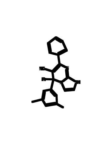 Cc1cc(C)cc(C2(C(C)C)C(C#N)=C(c3ccccc3)N=C3NC=CN32)c1